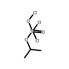 CC(C)[O][Ti](=[O])([Cl])([Cl])[O]Cl